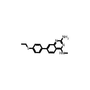 CCSc1ccc(-c2ccc3c(NC)nc(N)nc3c2)cc1